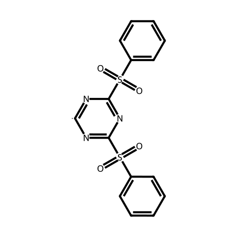 O=S(=O)(c1ccccc1)c1n[c]nc(S(=O)(=O)c2ccccc2)n1